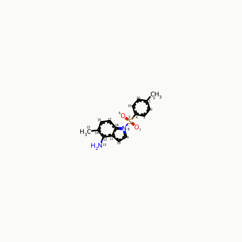 Cc1ccc(S(=O)(=O)n2ccc3c(N)c(C)ccc32)cc1